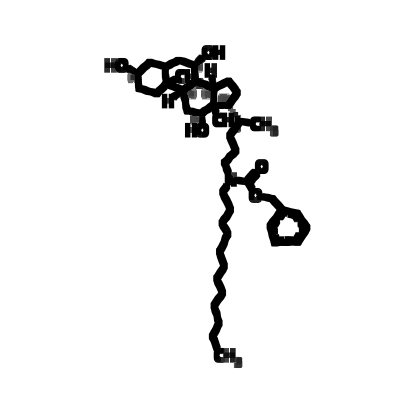 CCCCCCCCCCCCN(CCCC(C)[C@H]1CC[C@H]2C3[C@H](O)CC4C[C@H](O)CCC4(C)[C@H]3C[C@H](O)C12C)C(=O)OCc1ccccc1